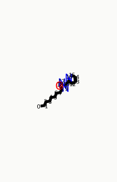 CCCCCCCCc1nc(-c2ccccn2)no1